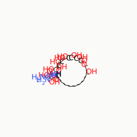 C[C@@H]1[C@H](O)[C@@H](C)/C=C/C=C/C=C/C=C/C=C/C=C/C=C/C(OC2O[C@H](C)[C@@H](O)[C@H](N)[C@@H]2O)C[C@@H]2O[C@](O)(C[C@@H](O)C[C@@H](O)[C@H](O)CC[C@@H](O)C[C@@H](O)CC(=O)O[C@H]1C)C[C@H](O)[C@H]2NC(=O)NCCN